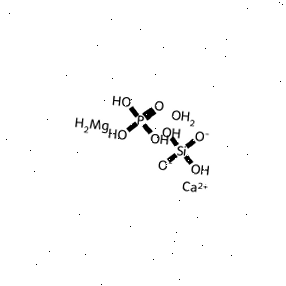 O.O=P(O)(O)O.[Ca+2].[MgH2].[O-][Si]([O-])(O)O